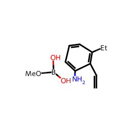 C=Cc1c(N)cccc1CC.COB(O)O